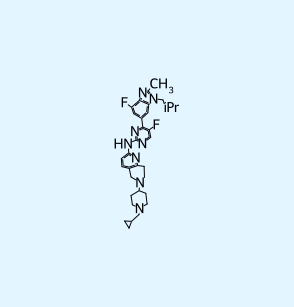 Cc1nc2c(F)cc(-c3nc(Nc4ccc5c(n4)CCN(C4CCN(CC6CC6)CC4)C5)ncc3F)cc2n1CC(C)C